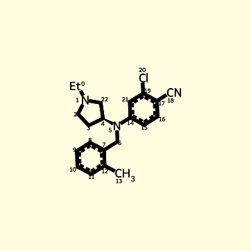 CCN1CC[C@H](N(Cc2ccccc2C)c2ccc(C#N)c(Cl)c2)C1